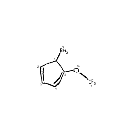 BC1C=CC=C1OC(F)(F)F